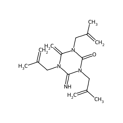 C=C(C)CN1C(=C)N(CC(=C)C)C(=O)N(CC(=C)C)C1=N